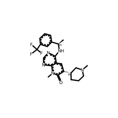 C[C@@H](Nc1ncnc2c1cc([C@H]1CCCN(C)C1)c(=O)n2C)c1cccc(C(F)(F)F)c1